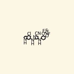 N#Cc1cc(Nc2ccc3c(c2)OC(F)(F)C(F)(F)O3)cc(Nc2cc(Cl)c3cc[nH]c3c2)n1